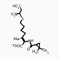 CC1(C)CC1C(=O)N/C(=C\CCCCSC(N)CC(=O)O)C(=O)[O-].[Na+]